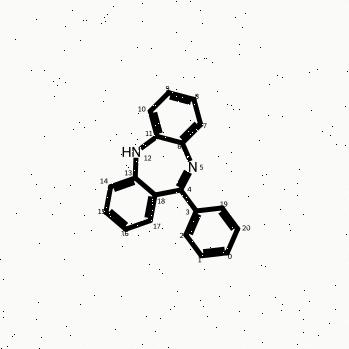 c1ccc(C2=Nc3ccccc3Nc3ccccc32)cc1